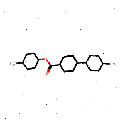 CC1CCC(OC(=O)C2CCC(C3CCC(C)CC3)CC2)CC1